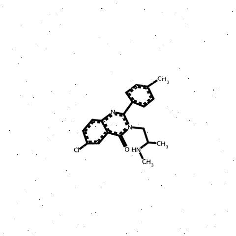 CNC(C)Cn1c(-c2ccc(C)cc2)nc2ccc(Cl)cc2c1=O